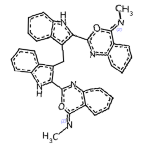 C/N=c1\oc(-c2[nH]c3ccccc3c2Cc2c(-c3nc4ccccc4/c(=N/C)o3)[nH]c3ccccc23)nc2ccccc12